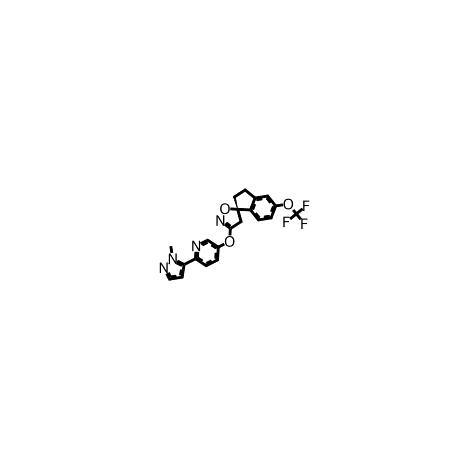 Cn1nccc1-c1ccc(OC2=NO[C@@]3(CCc4cc(OC(F)(F)F)ccc43)C2)cn1